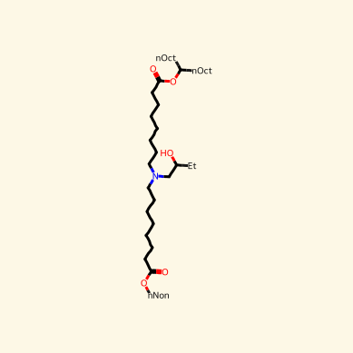 CCCCCCCCCOC(=O)CCCCCCCN(CCCCCCCC(=O)OC(CCCCCCCC)CCCCCCCC)CC(O)CC